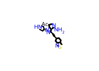 CC(=O)c1cnc(N)c2c(C#Cc3ccc4csnc4c3)nn([C@H]3CCNC3)c12